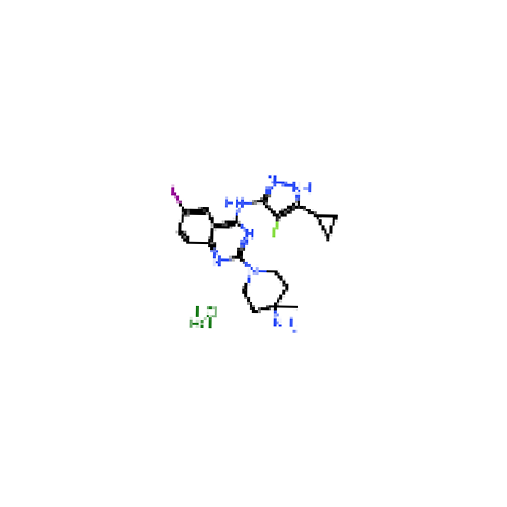 CC1(N)CCN(c2nc(Nc3n[nH]c(C4CC4)c3F)c3cc(I)ccc3n2)CC1.Cl.Cl